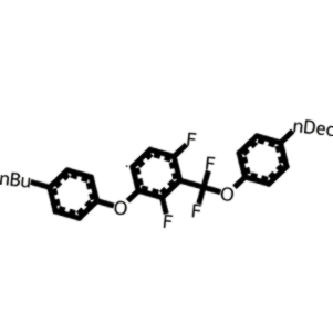 CCCCCCCCCCc1ccc(OC(F)(F)c2c(F)c[c]c(Oc3ccc(CCCC)cc3)c2F)cc1